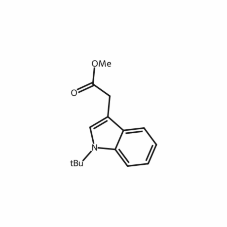 COC(=O)Cc1cn(C(C)(C)C)c2ccccc12